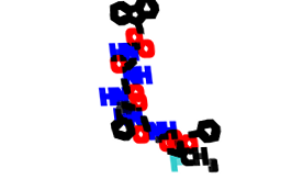 CC(F)(COCNC(=O)CNC(=O)[C@H](Cc1ccccc1)NC(=O)CNC(=O)CNC(=O)OCC1c2ccccc2-c2ccccc21)C(=O)OCc1ccccc1